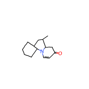 CC1CC2CCCCC2N2C=CC(=O)CC12